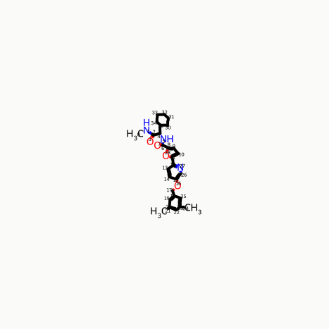 CNC(=O)[C@@H](NC(=O)c1ccc(-c2ccc(OCc3cc(C)cc(C)c3)cn2)o1)C1CCCCC1